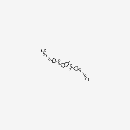 C=CC(=O)OCCCOc1ccc(C(=O)Oc2ccc3cc(OC(=O)c4ccc(OCCCOC(=O)C=C)cc4)c(C)cc3c2)cc1